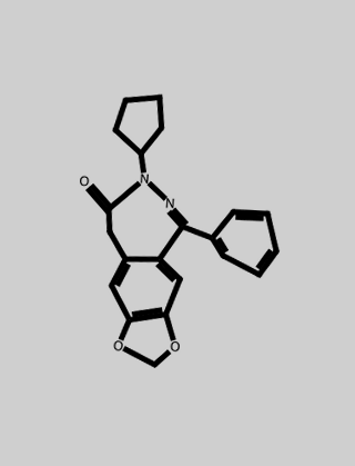 O=C1Cc2cc3c(cc2C(c2ccccc2)=NN1C1CCCC1)OCO3